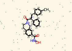 Cc1ccc(/C=C(/C(=O)N2CCc3ccc(C(=O)NO)cc3C2)c2ccccc2)cc1